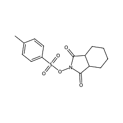 Cc1ccc(S(=O)(=O)ON2C(=O)C3CCCCC3C2=O)cc1